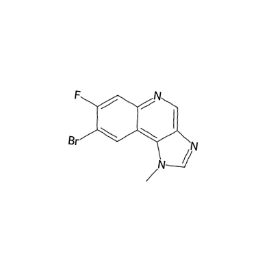 Cn1cnc2cnc3cc(F)c(Br)cc3c21